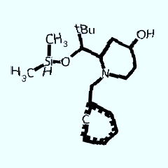 C[SiH](C)OC(C1CC(O)CCN1Cc1ccccc1)C(C)(C)C